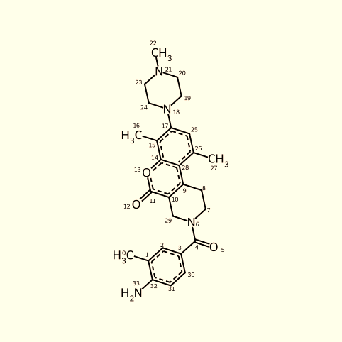 Cc1cc(C(=O)N2CCc3c(c(=O)oc4c(C)c(N5CCN(C)CC5)cc(C)c34)C2)ccc1N